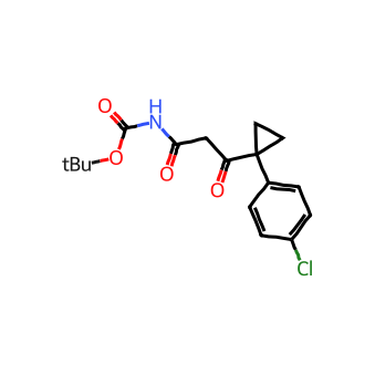 CC(C)(C)OC(=O)NC(=O)CC(=O)C1(c2ccc(Cl)cc2)CC1